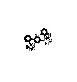 CCOc1nc2cccc(C(C)=O)c2n1Cc1ccc(-c2ccccc2-c2nnn[nH]2)cc1